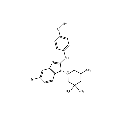 CC1C[C@@H](n2c(Nc3ccc(OC(C)C)cc3)nc3cc(Br)ccc32)CC(C)(C)C1